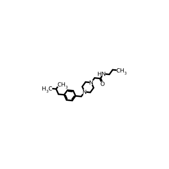 CCCNC(=O)CN1CCN(Cc2ccc(CC(C)C)cc2)CC1